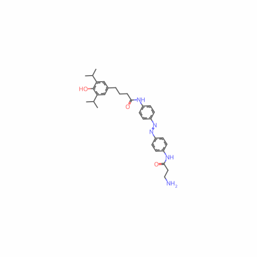 CC(C)c1cc(CCCC(=O)Nc2ccc(N=Nc3ccc(NC(=O)CCN)cc3)cc2)cc(C(C)C)c1O